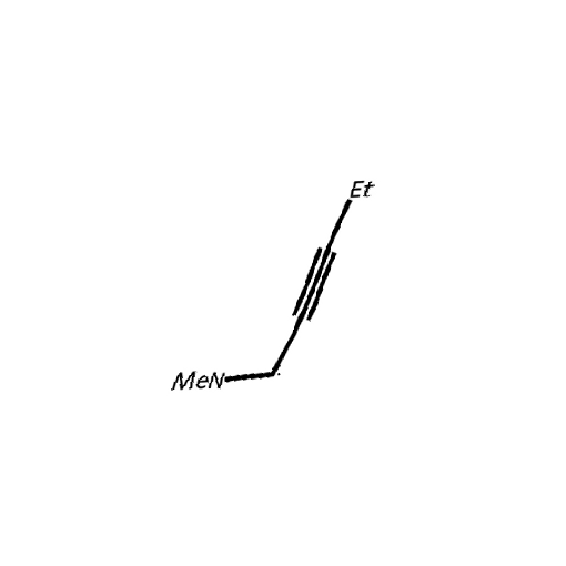 CCC#C[CH]NC